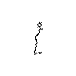 CCCCCC=CCCCCC#CCC#CCCC(F)C1=NC(C)(C)CO1